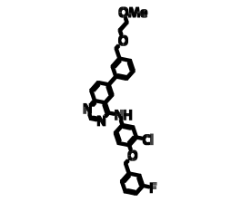 COCCOCc1cccc(-c2ccc3ncnc(Nc4ccc(OCc5cccc(F)c5)c(Cl)c4)c3c2)c1